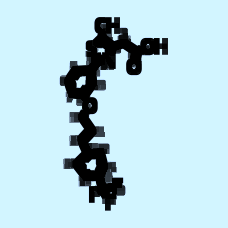 Cc1sc(-c2cccc(OC/C=C/c3ccc(C(F)(F)F)cc3)c2)nc1CC(=O)O